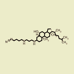 CC(C)CCC[C@@H](C)[C@H]1CCC2C3C[C@@H](O)[C@H]4CC(NCCCNCCCCN=[N+]=[N-])CC[C@]4(C)C3CC[C@@]21C